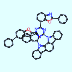 c1ccc(-c2ccc3oc4ccc(-n5c6ccccc6c6ccc7c8ccccc8n(-c8nc(-c9ccccc9)nc(-c9cccc%10nc(-c%11ccccc%11)oc9%10)n8)c7c65)cc4c3c2)cc1